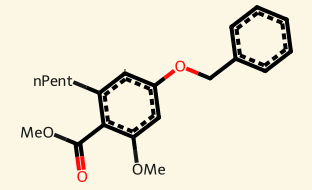 CCCCCc1[c]c(OCc2ccccc2)cc(OC)c1C(=O)OC